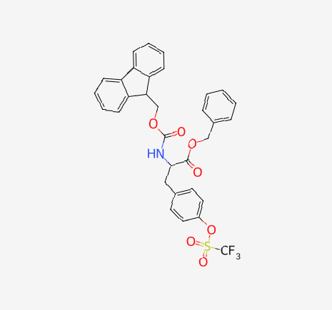 O=C(NC(Cc1ccc(OS(=O)(=O)C(F)(F)F)cc1)C(=O)OCc1ccccc1)OCC1c2ccccc2-c2ccccc21